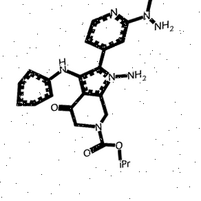 CC(C)OC(=O)N1CC(=O)c2c(Nc3ccccc3)c(-c3ccnc(N(N)C(=O)C4CC4)c3)n(N)c2C1